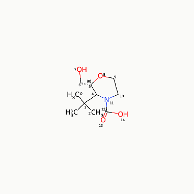 CC(C)(C)C1[C@H](CO)OCCN1C(=O)O